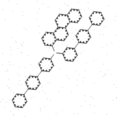 c1ccc(-c2ccc(-c3ccc(N(c4cccc(-c5ccc(-c6ccccc6)cc5)c4)c4cccc5c4ccc4c6ccccc6ccc54)cc3)cc2)cc1